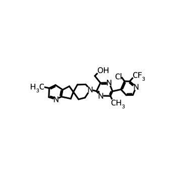 Cc1cnc2c(c1)CC1(CCN(c3nc(C)c(-c4ccnc(C(F)(F)F)c4Cl)nc3CO)CC1)C2